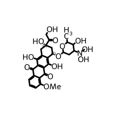 COc1cccc2c1C(=O)c1c(O)c3c(c(O)c1C2=O)C[C@@](O)(C(=O)CO)C[C@@H]3OC1CC(N(O)O)C(O)C(C)O1